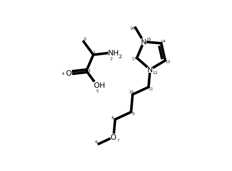 CC(N)C(=O)O.COCCCCN1C=CN(C)C1